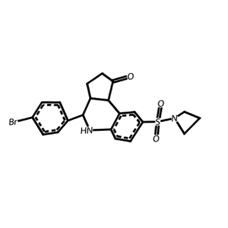 O=C1CCC2C(c3ccc(Br)cc3)Nc3ccc(S(=O)(=O)N4CCC4)cc3C12